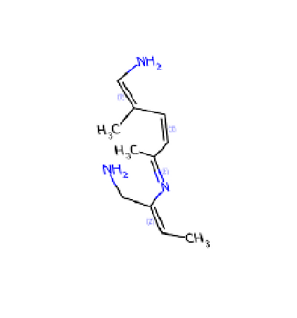 C\C=C(CN)/N=C(C)/C=C\C(C)=C/N